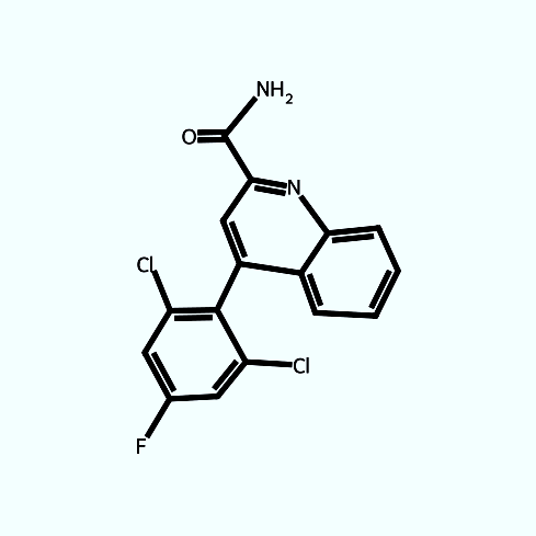 NC(=O)c1cc(-c2c(Cl)cc(F)cc2Cl)c2ccccc2n1